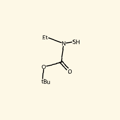 CCN(S)C(=O)OC(C)(C)C